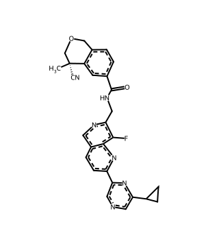 C[C@@]1(C#N)COCc2ccc(C(=O)NCc3ncc4ccc(-c5cncc(C6CC6)n5)nc4c3F)cc21